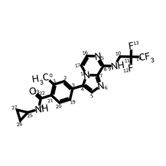 Cc1cc(-c2cnc3c(NCC(F)(F)C(F)(F)F)nccn23)ccc1C(=O)NC1CC1